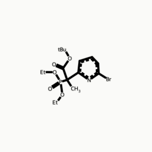 CCOP(=O)(OCC)C(C)(C(=O)OC(C)(C)C)c1cccc(Br)n1